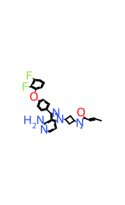 CC#CC(=O)N(C)C1CC(n2nc(-c3ccc(Oc4cccc(F)c4F)cc3)c3c(N)nccc32)C1